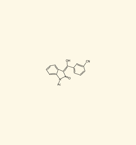 CC(=O)N1C(=O)C(=C(O)c2cccc(C#N)c2)c2ccccc21